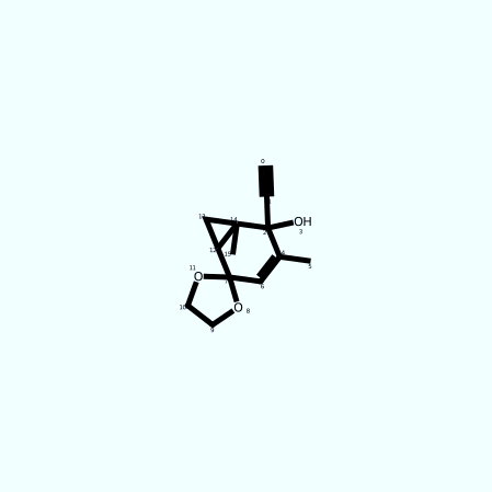 C#CC1(O)C(C)=CC2(OCCO2)C2CC21C